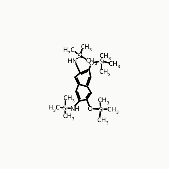 C[Si](C)(C)Nc1cc2cc(N[Si](C)(C)C)c(O[Si](C)(C)C)cc2cc1O[Si](C)(C)C